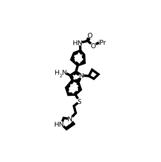 CC(C)OC(=O)Nc1ccc(-c2c(N)c3ccc(SCCN4C=CNC4)cc3n2C2CCC2)cc1